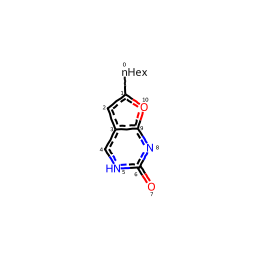 CCCCCCc1cc2c[nH]c(=O)nc2o1